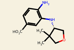 CC1(C)COC[C@H]1Nc1cc(C(=O)O)ccc1N